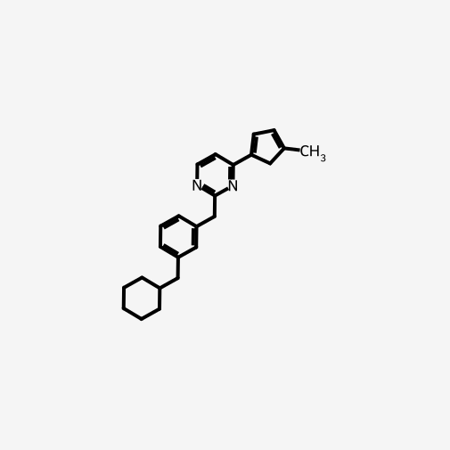 CC1=CC=C(c2ccnc(Cc3cccc(CC4CCCCC4)c3)n2)C1